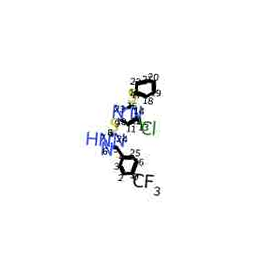 FC(F)(F)c1ccc(-c2n[nH]c(Sc3cc(Cl)nc(Sc4ccccc4)n3)n2)cc1